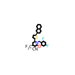 N#Cc1c(C(F)(F)F)cc(-c2ccc(-c3ccc4ccccc4c3)s2)n(Cc2ccc(F)cc2F)c1=O